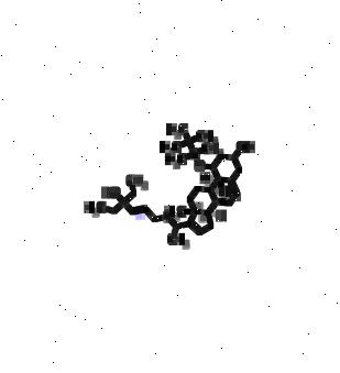 CCC(O)(/C=C/CSC(C)C1=CC[C@@H]2C3=CC=C4CC(O)CC(O[Si](C)(C)C(C)(C)C)[C@@]4(C)[C@@H]3CC[C@@]12C)CC